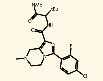 CNC(=O)C(NC(=O)c1nc(-c2ccc(Cl)cc2F)n2c1CN(C)CC2)C(C)(C)C